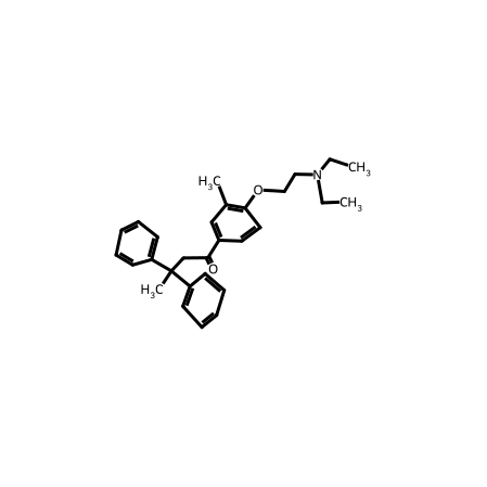 CCN(CC)CCOc1ccc(C(=O)CC(C)(c2ccccc2)c2ccccc2)cc1C